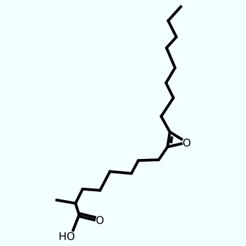 CCCCCCCCC1=C(CCCCCCC(C)C(=O)O)O1